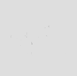 C=CCCS[C@H]1O[C@H]([C@@H](CC=C)NC(=O)C(F)(F)F)[C@H](O)[C@H](O)[C@H]1O